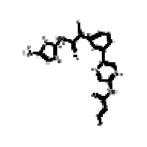 CC=CC(=O)Nc1cnc(-c2cccc(C(C)C(=O)Nc3ncc(C(F)(F)F)s3)c2)cn1